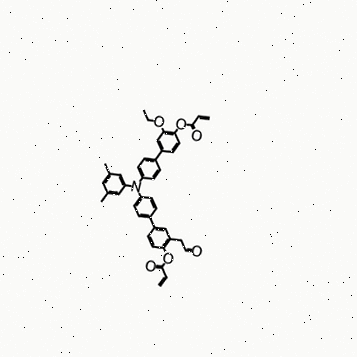 C=CC(=O)Oc1ccc(-c2ccc(N(c3ccc(-c4ccc(OC(=O)C=C)c(OCC)c4)cc3)c3cc(C)cc(C)c3)cc2)cc1CC=O